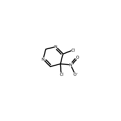 O=[N+]([O-])C1(Cl)C=NCN=C1Cl